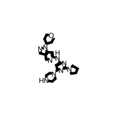 c1c(Nc2cc3c(cn2)cnn3C2CCOCC2)nc(N2CCCC2)nc1N1CCNCC1